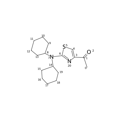 CC(=O)c1csc(N(C2CCCCC2)C2CCCCC2)n1